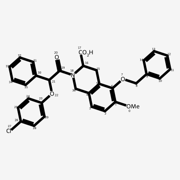 COc1ccc2c(c1OCc1ccccc1)CC(C(=O)O)N(C(=O)C(Oc1ccc(Cl)cc1)c1ccccc1)C2